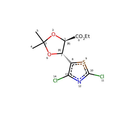 CCOC(=O)[C@@H]1OC(C)(C)O[C@H]1c1sc(Cl)nc1Cl